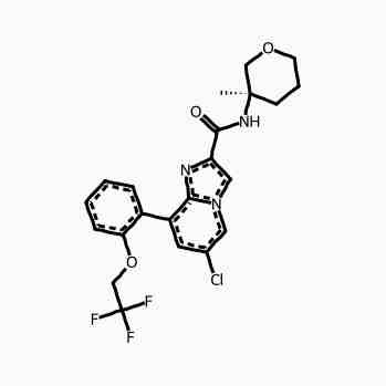 C[C@@]1(NC(=O)c2cn3cc(Cl)cc(-c4ccccc4OCC(F)(F)F)c3n2)CCCOC1